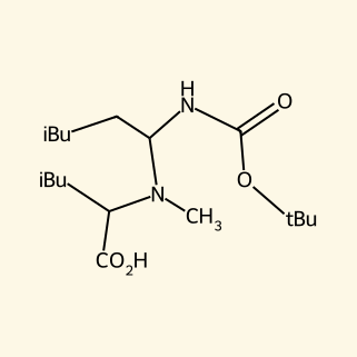 CCC(C)CC(NC(=O)OC(C)(C)C)N(C)C(C(=O)O)C(C)CC